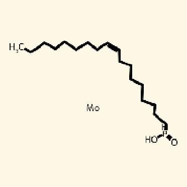 CCCCCCCC/C=C\CCCCCCCC[PH](=O)O.[Mo]